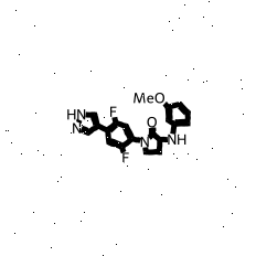 COc1cccc(NC2CCN(c3cc(F)c(-c4cn[nH]c4)cc3F)C2=O)c1